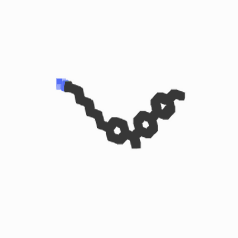 C=C(C1CCC(CCC=CC=CC#N)CC1)C1CCC(c2ccc(CC)cc2)CC1